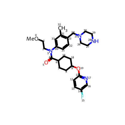 COCCN(C(=O)C1CCC(Oc2ccc(F)cn2)CC1)c1ccc(CN2CCNCC2)c(C)c1